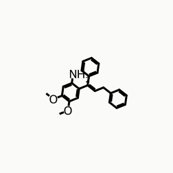 COc1cc(N)c(/C(=C/Cc2ccccc2)c2ccccc2)cc1OC